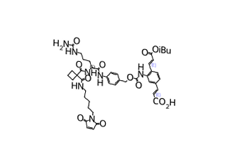 CC(C)COC(=O)/C=C/c1ccc(/C=C/C(=O)O)cc1NC(=O)OCc1ccc(NC(=O)[C@H](CCCNC(N)=O)NC(=O)C2(C(=O)NCCCCCN3C(=O)C=CC3=O)CCC2)cc1